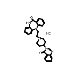 Cl.O=C1Nc2ccccc2N(CCN2CCC(n3cnc4ccccc4c3=O)CC2)c2ccccc21